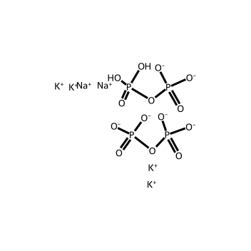 O=P([O-])([O-])OP(=O)(O)O.O=P([O-])([O-])OP(=O)([O-])[O-].[K+].[K+].[K+].[K+].[Na+].[Na+]